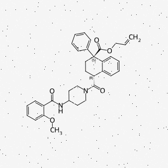 C=CCOC(=O)[C@]1(c2ccccc2)CC[C@@H](C(=O)N2CCC(NC(=O)c3ccccc3OC)CC2)c2ccccc21